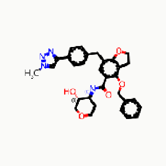 Cn1cc(-c2ccc(Cc3cc(C(=O)/N=C4\CCOC[C@@H]4O)c(OCc4ccccc4)c4c3OCC4)cc2)nn1